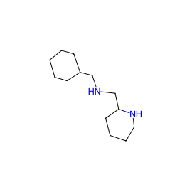 C1CCC(CNCC2CCCCN2)CC1